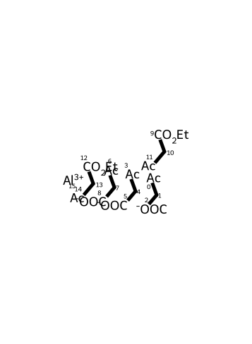 CC(=O)CC(=O)[O-].CC(=O)CC(=O)[O-].CC(=O)CC(=O)[O-].CCOC(=O)CC(C)=O.CCOC(=O)CC(C)=O.[Al+3]